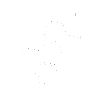 CCCc1ccc(O)c(C)c1Oc1ccccc1